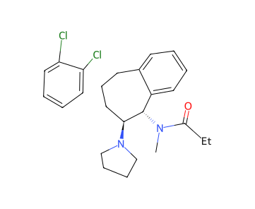 CCC(=O)N(C)[C@H]1c2ccccc2CCC[C@@H]1N1CCCC1.Clc1ccccc1Cl